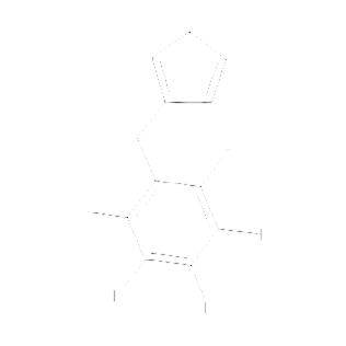 Fc1c(F)c(F)c(CC2=[C]CC=C2)c(F)c1F